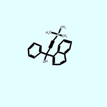 C[Si](C)(C)C#CC(O)(c1ccccc1)c1cccc2ccccc12